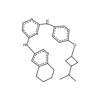 CN(C)C1CC(Oc2ccc(Nc3nccc(Nc4cnc5c(c4)CCCC5)n3)cc2)C1